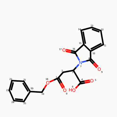 O=C(CC(C(=O)O)N1C(=O)c2ccccc2C1=O)OCc1ccccc1